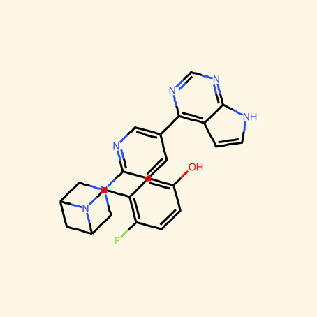 Oc1ccc(F)c(CN2C3CC2CN(c2ccc(-c4ncnc5[nH]ccc45)cn2)C3)c1